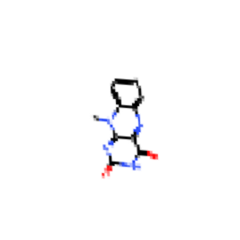 Cn1c2nc(=O)[nH]c(=O)c-2nc2c[c]ccc21